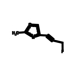 Cc1nc(C#CCF)co1